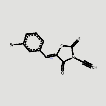 C#CN1C(=O)/C(=C/c2cccc(Br)c2)SC1=S